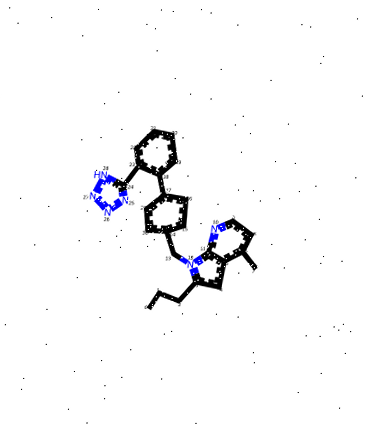 CCCc1cc2c(C)ccnc2n1Cc1ccc(-c2ccccc2-c2nnn[nH]2)cc1